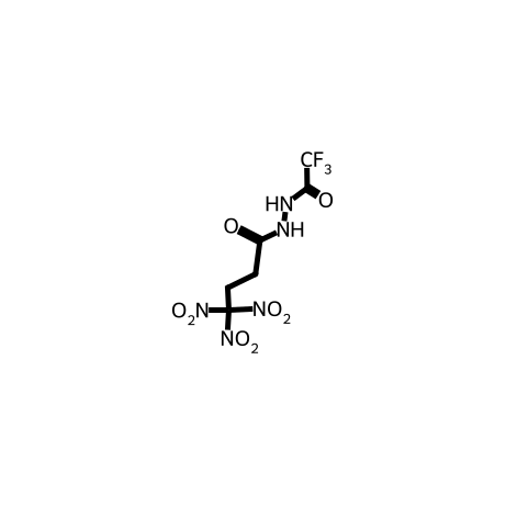 O=C(CCC([N+](=O)[O-])([N+](=O)[O-])[N+](=O)[O-])NNC(=O)C(F)(F)F